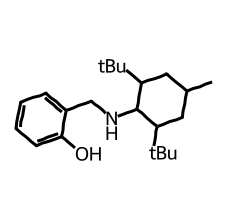 CC1CC(C(C)(C)C)C(NCc2ccccc2O)C(C(C)(C)C)C1